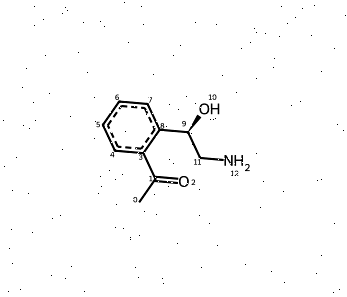 CC(=O)c1ccccc1[C@@H](O)CN